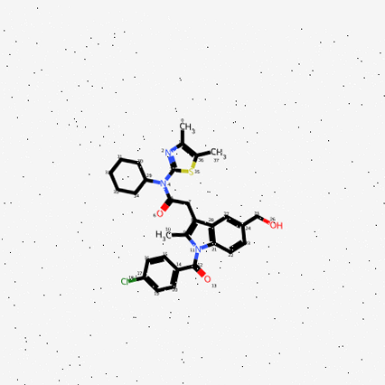 Cc1nc(N(C(=O)Cc2c(C)n(C(=O)c3ccc(Cl)cc3)c3ccc(CO)cc23)C2CCCCC2)sc1C